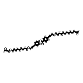 O=C(Oc1ccc(C#CCOCCCCCCCCCOCC2CO2)cc1)c1ccc(C#CCOCCCCCCCCCCCC2CO2)cc1